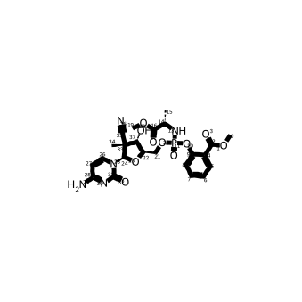 COC(=O)c1ccccc1OP(=O)(N[C@@H](C)C(=O)OC)OC[C@H]1O[C@@H](n2ccc(N)nc2=O)[C@](C)(C#N)[C@@H]1O